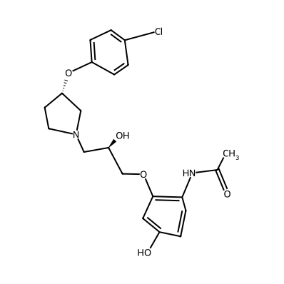 CC(=O)Nc1ccc(O)cc1OC[C@H](O)CN1CC[C@H](Oc2ccc(Cl)cc2)C1